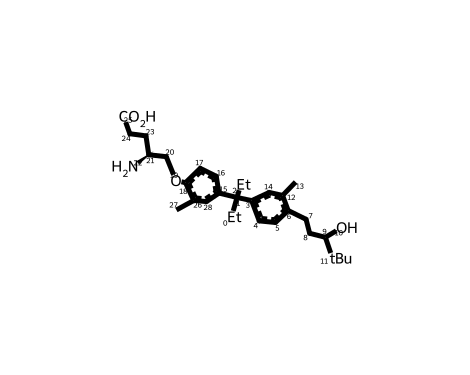 CCC(CC)(c1ccc(CCC(O)C(C)(C)C)c(C)c1)c1ccc(OC[C@@H](N)CCC(=O)O)c(C)c1